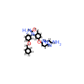 Cc1ccc(Oc2ccc3nc(N)cn3n2)cc1N(C(N)=O)c1cccc(OCc2ccccc2)c1